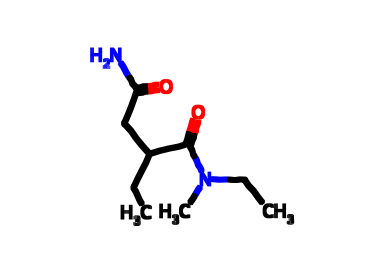 CCC(CC(N)=O)C(=O)N(C)CC